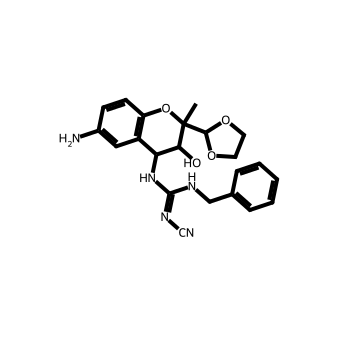 CC1(C2OCCO2)Oc2ccc(N)cc2C(NC(=NC#N)NCc2ccccc2)C1O